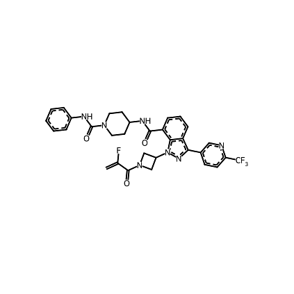 C=C(F)C(=O)N1CC(n2nc(-c3ccc(C(F)(F)F)nc3)c3cccc(C(=O)NC4CCN(C(=O)Nc5ccccc5)CC4)c32)C1